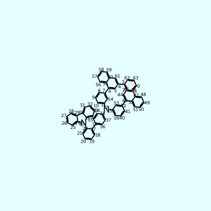 c1ccc(-c2cc(-c3cccc(N(c4ccc(-c5ccccc5-n5c6ccccc6c6ccccc65)cc4)c4cccc(-c5cccc6ccccc56)c4)c3)c3ccccc3c2)cc1